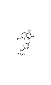 Cc1cn(C)c(-c2ccc(Cn3c(=O)[nH]c4cnc(Cl)nc43)cc2)n1